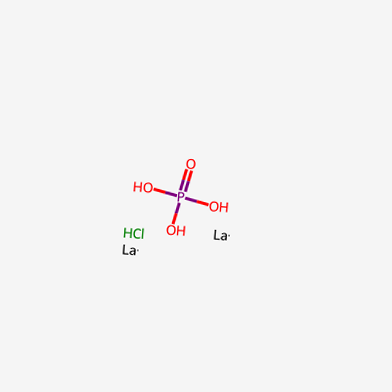 Cl.O=P(O)(O)O.[La].[La]